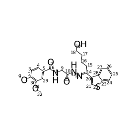 COc1ccc(C(=O)NCC(=O)N/N=C(\CCCCO)c2csc3ccccc23)cc1OC